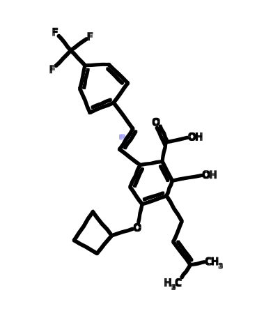 CC(C)=CCc1c(OC2CCC2)cc(/C=C/c2ccc(C(F)(F)F)cc2)c(C(=O)O)c1O